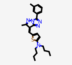 CCCCN(CCCC)c1ccc(/C=c2/c(C)nn3c(-c4cccc(C)c4)nnc23)s1